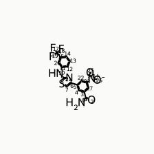 NC(=O)c1cc(-c2csc(Nc3cccc(C(F)(F)F)c3)n2)cc([N+](=O)[O-])c1